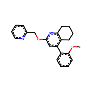 COc1ccccc1-c1cc(OCc2ccccn2)nc2c1CCCC2